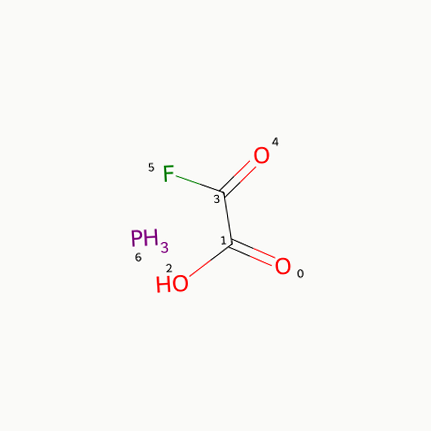 O=C(O)C(=O)F.P